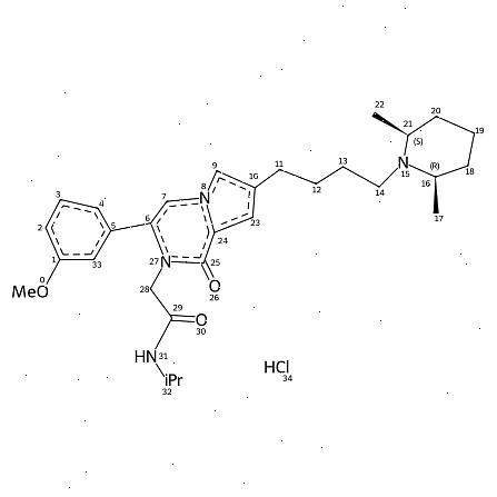 COc1cccc(-c2cn3cc(CCCCN4[C@H](C)CCC[C@@H]4C)cc3c(=O)n2CC(=O)NC(C)C)c1.Cl